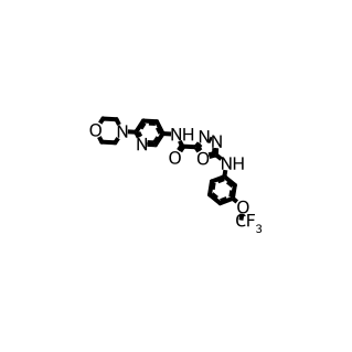 O=C(Nc1ccc(N2CCOCC2)nc1)c1nnc(Nc2cccc(OC(F)(F)F)c2)o1